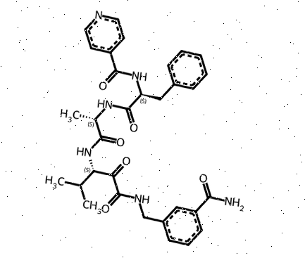 CC(C)[C@H](NC(=O)[C@H](C)NC(=O)[C@H](Cc1ccccc1)NC(=O)c1ccncc1)C(=O)C(=O)NCc1cccc(C(N)=O)c1